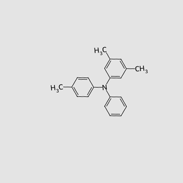 Cc1ccc(N(c2ccccc2)c2cc(C)cc(C)c2)cc1